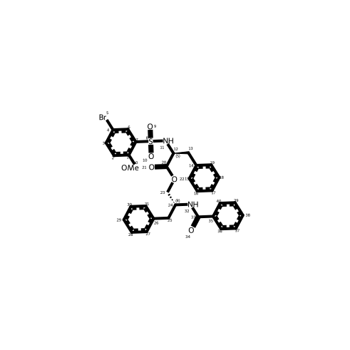 COc1ccc(Br)cc1S(=O)(=O)N[C@@H](Cc1ccccc1)C(=O)OC[C@@H](Cc1ccccc1)NC(=O)c1ccccc1